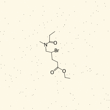 CCOC(=O)CCC(Br)CN(C)C(=O)CC